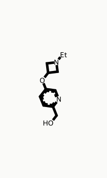 CCN1CC(Oc2ccc(CO)nc2)C1